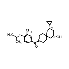 Cc1cc(C(=O)N2CCC3(CC2)C[C@@H](O)C[C@H](C2CC2)O3)ccc1OC(C)C